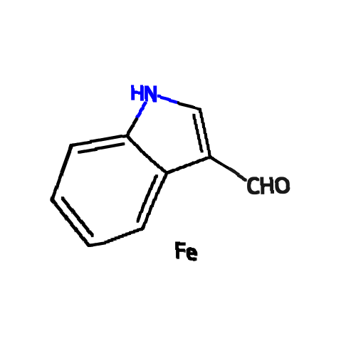 O=Cc1c[nH]c2ccccc12.[Fe]